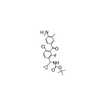 Cc1cc(C(=O)c2c(Cl)ccc(C(NC(=O)OC(C)(C)C)C3CC3)c2F)ccc1N